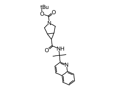 CC(C)(C)OC(=O)N1CC2C(C1)C2C(=O)NC(C)(C)c1ccc2ccccc2n1